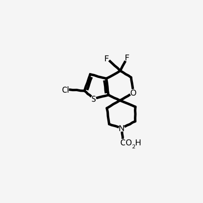 O=C(O)N1CCC2(CC1)OCC(F)(F)c1cc(Cl)sc12